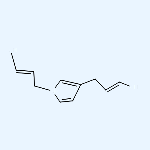 CC=CCC1=[C][SH](CC=CC)C=C1